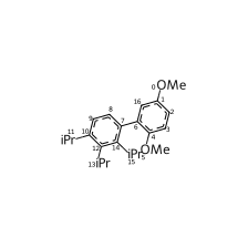 COc1ccc(OC)c(-c2ccc(C(C)C)c(C(C)C)c2C(C)C)c1